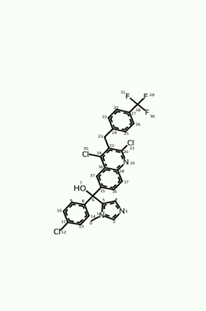 Cn1cncc1C(O)(c1ccc(Cl)cc1)c1ccc2nc(Cl)c(Cc3ccc(C(F)(F)F)cc3)c(Cl)c2c1